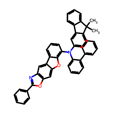 CC1(C)c2ccccc2-c2cc(N(c3ccccc3-c3ccccc3)c3cccc4c3oc3cc5oc(-c6ccccc6)nc5cc34)ccc21